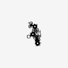 COC(=O)c1cccc(S(=O)(=O)Nc2ccc(Cl)cc2NS(=O)(=O)c2cc3ccccc3o2)c1